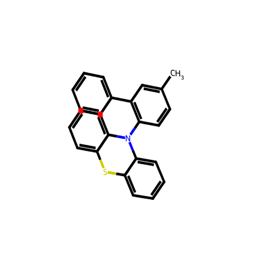 Cc1ccc(N2c3ccccc3Sc3ccccc32)c(-c2ccccc2)c1